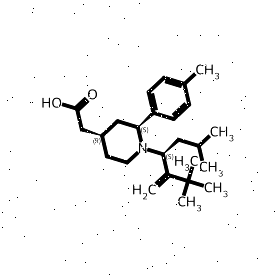 C=C([C@H](CC(C)C)N1CC[C@@H](CC(=O)O)C[C@H]1c1ccc(C)cc1)C(C)(C)C